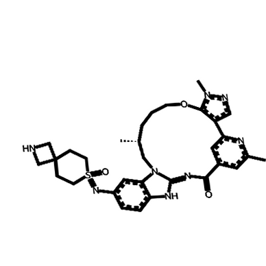 Cc1cc2cc(n1)-c1cnn(C)c1OCCC[C@@H](C)CN1/C(=N/C2=O)Nc2ccc(N=S3(=O)CCC4(CC3)CNC4)cc21